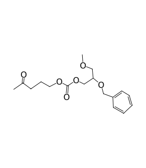 COCC(COC(=O)OCCCC(C)=O)OCc1ccccc1